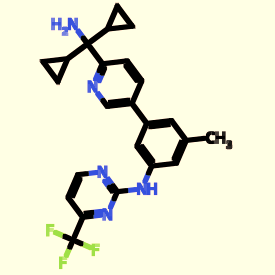 Cc1cc(Nc2nccc(C(F)(F)F)n2)cc(-c2ccc(C(N)(C3CC3)C3CC3)nc2)c1